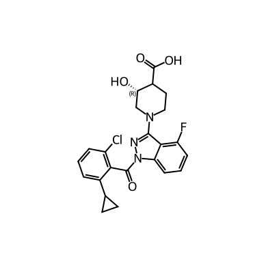 O=C(O)C1CCN(c2nn(C(=O)c3c(Cl)cccc3C3CC3)c3cccc(F)c23)C[C@@H]1O